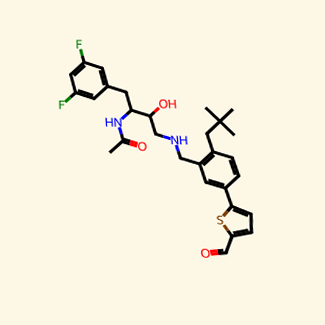 CC(=O)NC(Cc1cc(F)cc(F)c1)C(O)CNCc1cc(-c2ccc(C=O)s2)ccc1CC(C)(C)C